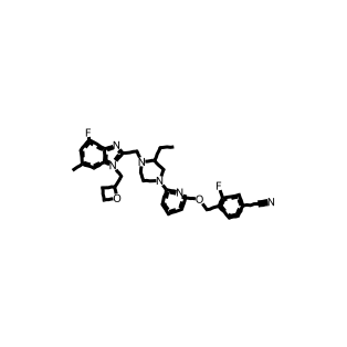 CCC1CN(c2cccc(OCc3ccc(C#N)cc3F)n2)CCN1Cc1nc2c(F)cc(C)cc2n1CC1CCO1